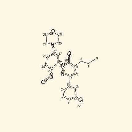 CCCc1cc(-c2cccc(OC)c2)nn(-c2cc(N3CCOCC3)ccc2N=O)c1=O